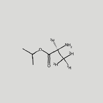 [2H]C([2H])([2H])[C@]([2H])(N)C(=O)OC(C)C